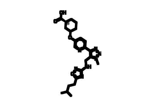 CC(C)CCc1nc(NCc2c(-c3ccc(OC4CCC[C@H](C(=O)O)C4)cn3)nnn2C)no1